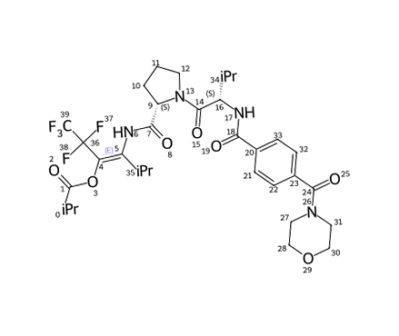 CC(C)C(=O)O/C(=C(/NC(=O)[C@@H]1CCCN1C(=O)[C@@H](NC(=O)c1ccc(C(=O)N2CCOCC2)cc1)C(C)C)C(C)C)C(F)(F)C(F)(F)F